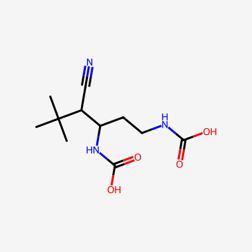 CC(C)(C)C(C#N)C(CCNC(=O)O)NC(=O)O